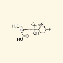 CC/C(C#CC(O)(c1ccc(F)cc1)C1(C#N)CC1)=C/C(=O)O